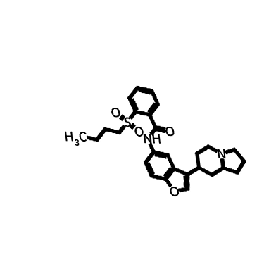 CCCCS(=O)(=O)c1ccccc1C(=O)Nc1ccc2occ(C3CCN4CCCC4C3)c2c1